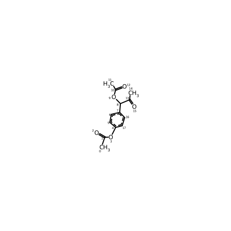 CC(=O)Oc1ccc(C(OC(C)=O)C(C)=O)cc1